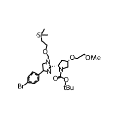 COCCO[C@H]1C[C@@H](C2=NC(c3ccc(Br)cc3)CN2COCC[Si](C)(C)C)N(C(=O)OC(C)(C)C)C1